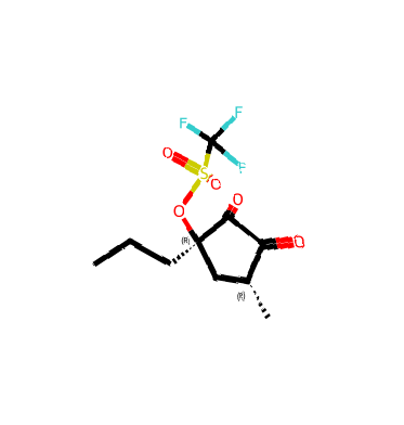 CCC[C@@]1(OS(=O)(=O)C(F)(F)F)C[C@@H](C)C(=O)C1=O